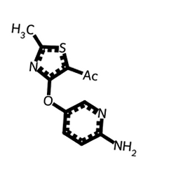 CC(=O)c1sc(C)nc1Oc1ccc(N)nc1